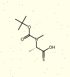 C[C@@H](C(O)=S)N(C)C(=O)OC(C)(C)C